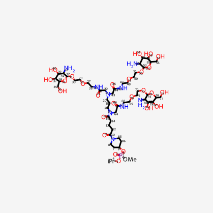 COP(=O)(OC(C)C)OC1CCN(C(=O)CCCC(=O)N(CCCN(CC(=O)NCCOCCOC2OC(CO)C(O)C(O)C2N)CC(=O)NCCOCCOC2OC(CO)C(O)C(O)C2N)CC(=O)NCCOCCOC2OC(CO)C(O)=C(O)C2N)CC1